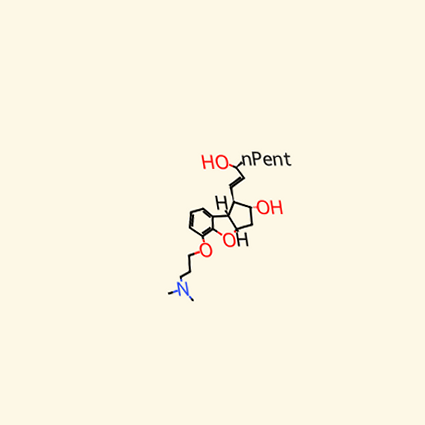 CCCCC[C@H](O)/C=C/[C@@H]1[C@H]2c3cccc(OCCCN(C)C)c3O[C@H]2C[C@H]1O